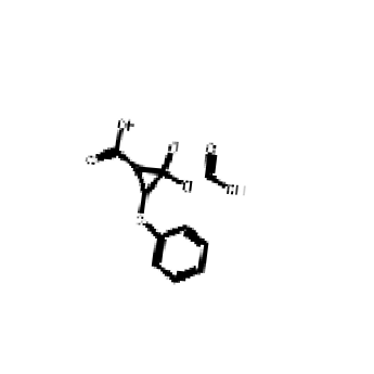 O=C(O)C1C(Oc2ccccc2)C1(Cl)Cl.O=CO